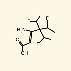 CC(F)C(/C(N)=C/C(=O)O)(C(C)F)C(C)F